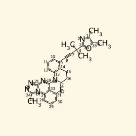 Cc1nc(C(C)(C)C#Cc2cccc3c2CCCN3c2nc3nnc(C)n3c3cccc(F)c23)oc1C